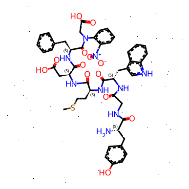 CSCC[C@H](NC(=O)[C@H](Cc1c[nH]c2ccccc12)NC(=O)CNC(=O)[C@@H](N)Cc1ccc(O)cc1)C(=O)N[C@@H](CC(=O)O)C(=O)N[C@@H](Cc1ccccc1)C(=O)N(CC(=O)O)c1ccccc1[N+](=O)[O-]